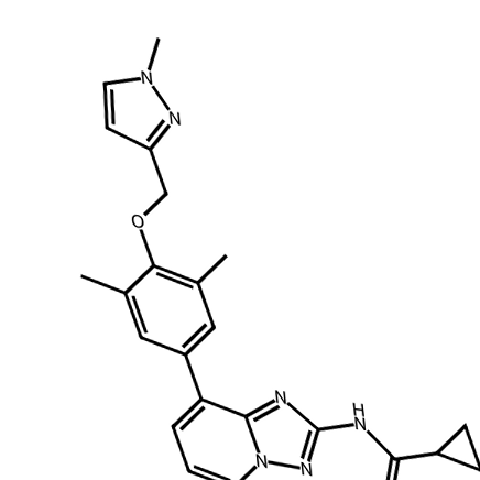 Cc1cc(-c2cccn3nc(NC(=O)C4CC4)nc23)cc(C)c1OCc1ccn(C)n1